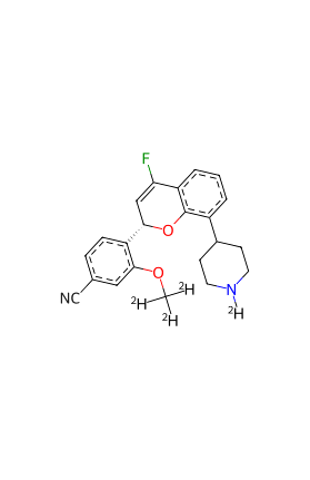 [2H]N1CCC(c2cccc3c2O[C@H](c2ccc(C#N)cc2OC([2H])([2H])[2H])C=C3F)CC1